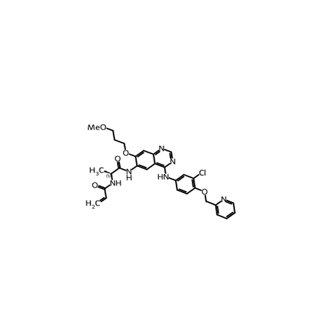 C=CC(=O)N[C@@H](C)C(=O)Nc1cc2c(Nc3ccc(OCc4ccccn4)c(Cl)c3)ncnc2cc1OCCCOC